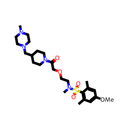 COc1cc(C)c(S(=O)(=O)N(C)CCOCC(=O)N2CCC(CN3CCN(C)CC3)CC2)c(C)c1